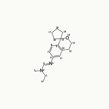 CCN(C)/C=N/c1ccc2c(c1)CCOC21CCCC1